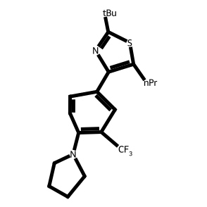 CCCc1sc(C(C)(C)C)nc1-c1ccc(N2CCCC2)c(C(F)(F)F)c1